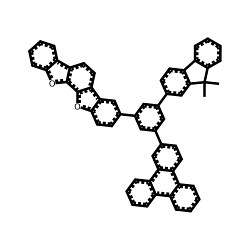 CC1(C)c2ccccc2-c2ccc(-c3cc(-c4ccc5oc6c(ccc7c8ccccc8oc76)c5c4)cc(-c4ccc5c6ccccc6c6ccccc6c5c4)c3)cc21